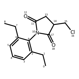 CCc1cccc(CC)c1N1C(=O)CC(CCl)C1=O